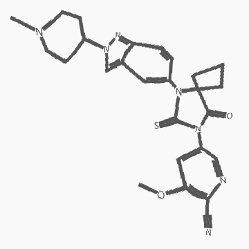 COc1cc(N2C(=O)C3(CCC3)N(c3ccc4nn(C5CCN(C)CC5)cc4c3)C2=S)cnc1C#N